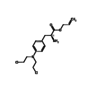 C=CCOC(=O)[C@@H](N)Cc1ccc(N(CCCl)CCCl)cc1